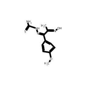 COc1ccc(C(=NNC(N)=S)C(C)=NO)cc1